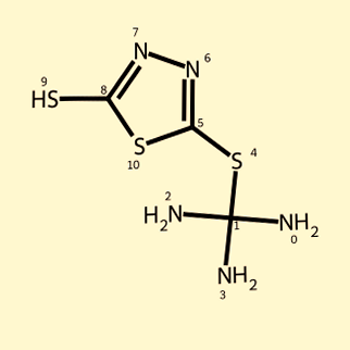 NC(N)(N)Sc1nnc(S)s1